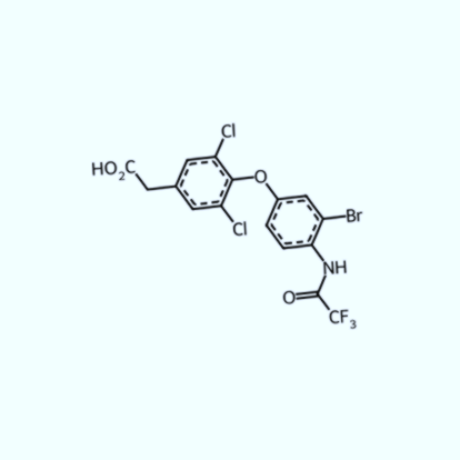 O=C(O)Cc1cc(Cl)c(Oc2ccc(NC(=O)C(F)(F)F)c(Br)c2)c(Cl)c1